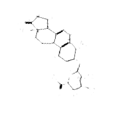 C[C@]12CCC3C(=CCC4=C3CC[C@H](OC3O[C@H](C(=O)[O-])[C@@H](O)[C@H](O)[C@H]3O)C4)C1CCC2=O.[Na+]